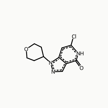 O=c1[nH]c(Cl)cc2c1cnn2C1CCOCC1